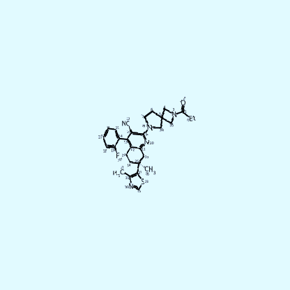 CCC(=O)N1CC2(CCN(c3nc4c(c(-c5ccccc5F)c3C#N)CC[C@](C)(c3scnc3C)C4)C2)C1